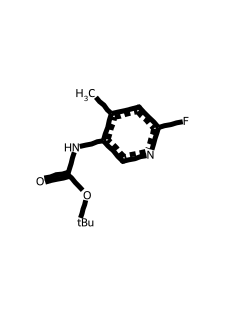 Cc1cc(F)ncc1NC(=O)OC(C)(C)C